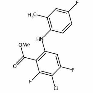 COC(=O)c1c(Nc2ccc(F)cc2C)cc(F)c(Cl)c1F